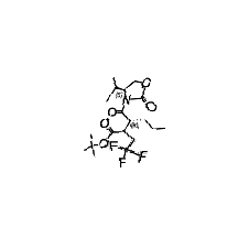 CCC[C@@H](C(=O)N1C(=O)OC[C@@H]1C(C)C)C(CC(F)(F)F)C(=O)OC(C)(C)C